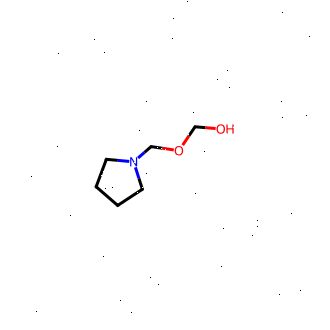 OCOCN1CCCC1